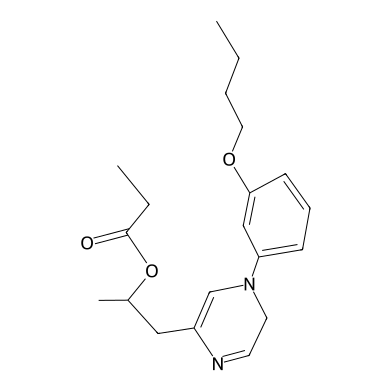 CCCCOc1cccc(N2C=C(CC(C)OC(=O)CC)N=CC2)c1